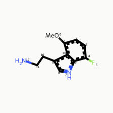 COc1ccc(F)c2[nH]cc(CCN)c12